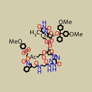 COc1ccc(C(OC[C@H]2O[C@@H](n3cc(C)c(=O)[nH]c3=O)C[C@H]2OP(OCCC#N)OC[C@H]2O[C@@H](n3cnc4c(=O)[nH]c(NC(=O)CCNC(=O)Cc5cn(C(=O)OCCS(=O)(=O)c6ccc(OC)cc6)c6ccccc56)nc43)C[C@H]2OC(=O)CCC(C)=O)(c2ccccc2)c2ccc(OC)cc2)cc1